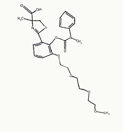 COCCOCCOCCOc1cccc(C2=NC(C)(C(=O)O)CS2)c1OC(=O)N(C)c1ccccc1